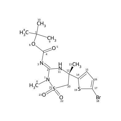 CN1/C(=N/C(=O)OC(C)(C)C)N[C@](C)(c2ccc(Br)s2)CS1(=O)=O